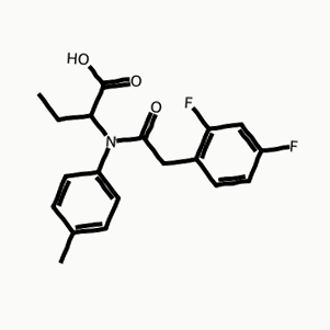 CCC(C(=O)O)N(C(=O)Cc1ccc(F)cc1F)c1ccc(C)cc1